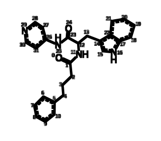 O=C(CCCc1ccccc1)NC(Cc1c[nH]c2ccccc12)C(=O)Nc1ccncc1